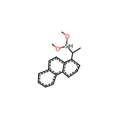 CO[SiH](OC)C(C)c1cccc2c1ccc1ccccc12